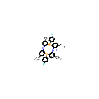 Cc1ccc2c(c1)Nc1cc(C)ccc1P(c1ccc(F)cc1)c1cc(C)ccc1Nc1ccc(C)cc1P2c1ccc(F)cc1